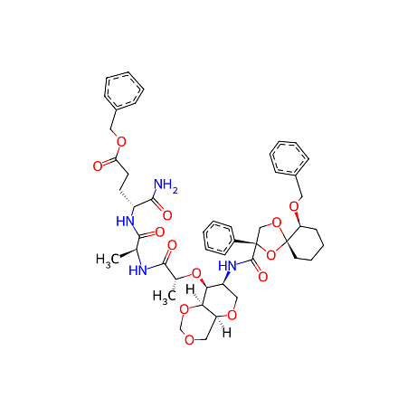 C[C@H](NC(=O)[C@@H](C)O[C@@H]1[C@@H]2OCOC[C@@H]2OC[C@@H]1NC(=O)[C@]1(c2ccccc2)CO[C@@]2(CCCC[C@@H]2OCc2ccccc2)O1)C(=O)N[C@H](CCC(=O)OCc1ccccc1)C(N)=O